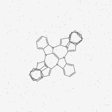 c1ccc2c(c1)N(c1cc3ccccc3s1)C(=C1N(c3cc4ccccc4s3)c3ccccc3N1c1cc3ccccc3s1)N2c1cc2ccccc2s1